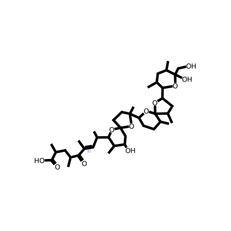 C/C(=C\C(C)C1OC2(CCC(C)(C3CCC(C)C4(OC(C5OC(O)(CO)C(C)CC5C)CC4C)O3)O2)CC(O)C1C)C(=O)C(C)CC(C)C(=O)O